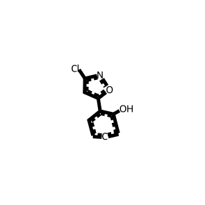 Oc1ccccc1-c1cc(Cl)no1